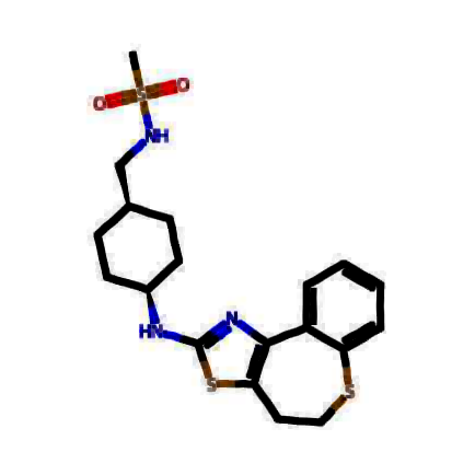 CS(=O)(=O)NC[C@H]1CC[C@@H](Nc2nc3c(s2)CCSc2ccccc2-3)CC1